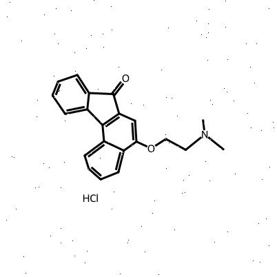 CN(C)CCOc1cc2c(c3ccccc13)-c1ccccc1C2=O.Cl